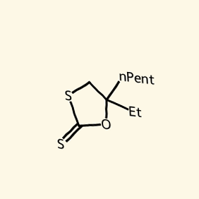 CCCCCC1(CC)CSC(=S)O1